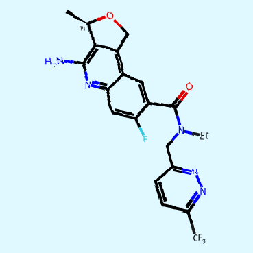 CCN(Cc1ccc(C(F)(F)F)nn1)C(=O)c1cc2c3c(c(N)nc2cc1F)[C@@H](C)OC3